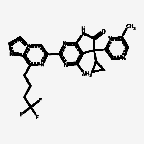 Cc1cncc(C2(C3CC3)C(=O)Nc3nc(-c4cn5ccnc5c(CCCC(F)(F)F)n4)nc(N)c32)n1